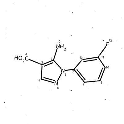 Nc1c(C(=O)O)cnn1-c1cccc(F)c1